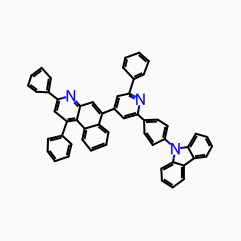 c1ccc(-c2cc(-c3cc4nc(-c5ccccc5)cc(-c5ccccc5)c4c4ccccc34)cc(-c3ccc(-n4c5ccccc5c5ccccc54)cc3)n2)cc1